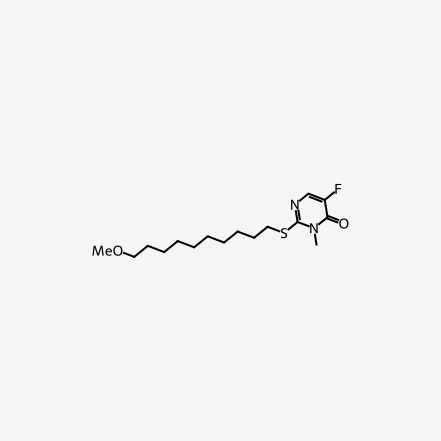 COCCCCCCCCCCSc1ncc(F)c(=O)n1C